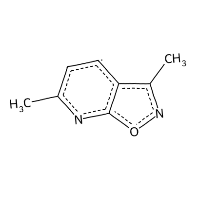 Cc1c[c]c2c(C)noc2n1